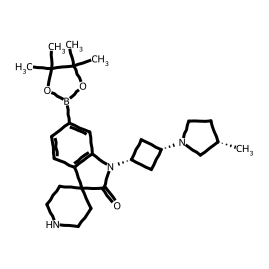 C[C@H]1CCN([C@H]2C[C@@H](N3C(=O)C4(CCNCC4)c4ccc(B5OC(C)(C)C(C)(C)O5)cc43)C2)C1